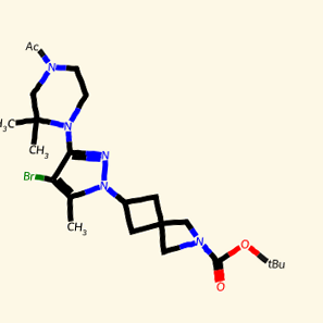 CC(=O)N1CCN(c2nn(C3CC4(C3)CN(C(=O)OC(C)(C)C)C4)c(C)c2Br)C(C)(C)C1